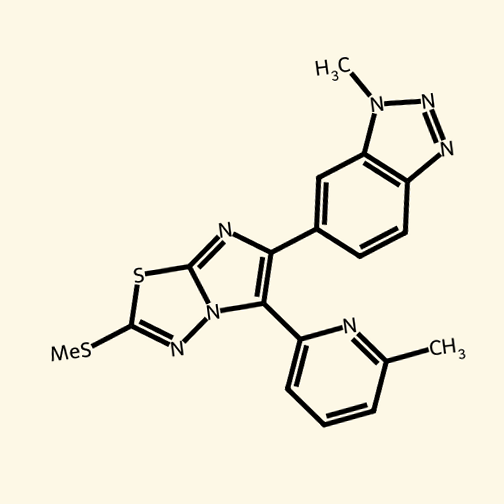 CSc1nn2c(-c3cccc(C)n3)c(-c3ccc4nnn(C)c4c3)nc2s1